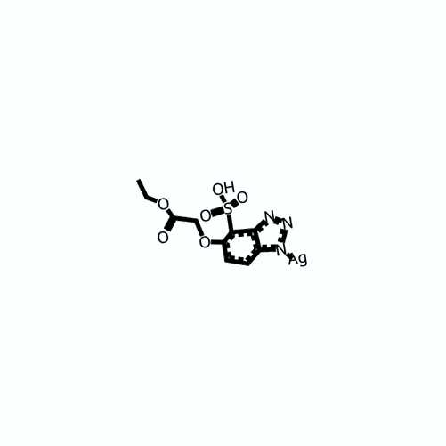 CCOC(=O)COc1ccc2c(nn[n]2[Ag])c1S(=O)(=O)O